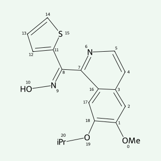 COc1cc2ccnc(C(=NO)c3cccs3)c2cc1OC(C)C